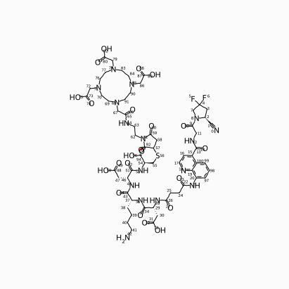 N#C[C@@H]1CC(F)(F)CN1C(=O)CNC(=O)c1ccnc2c(NC(=O)CCC(=O)N[C@H](CC(=O)O)C(=O)N[C@H](CCCCN)C(=O)N[C@H](CC(=O)O)C(=O)N[C@H](CSC3CC(=O)N(CCNC(=O)CN4CCN(CC(=O)O)CCN(CC(=O)O)CCN(CC(=O)O)CC4)C3=O)C(=O)O)cccc12